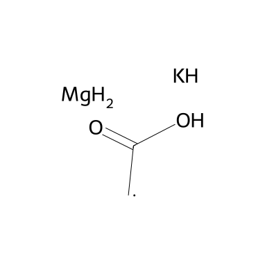 [CH2]C(=O)O.[KH].[MgH2]